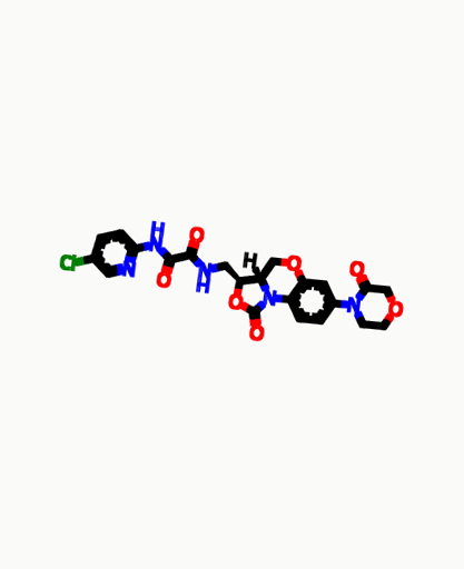 O=C(NC[C@@H]1OC(=O)N2c3ccc(N4CCOCC4=O)cc3OC[C@@H]12)C(=O)Nc1ccc(Cl)cn1